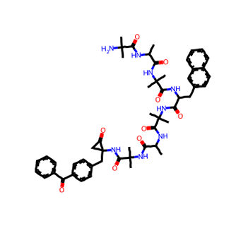 CC(NC(=O)C(C)(C)N)C(=O)NC(C)(C)C(=O)NC(Cc1ccc2ccccc2c1)C(=O)NC(C)(C)C(=O)NC(C)C(=O)NC(C)(C)C(=O)NC1(Cc2ccc(C(=O)c3ccccc3)cc2)CC1=O